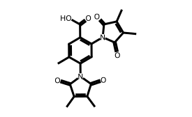 CC1=C(C)C(=O)N(c2cc(N3C(=O)C(C)=C(C)C3=O)c(C(=O)O)cc2C)C1=O